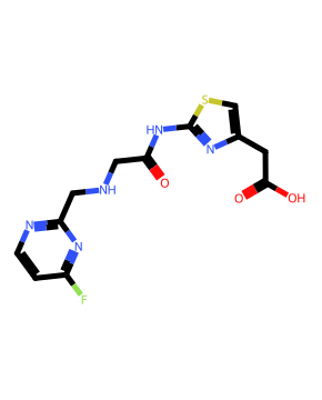 O=C(O)Cc1csc(NC(=O)CNCc2nccc(F)n2)n1